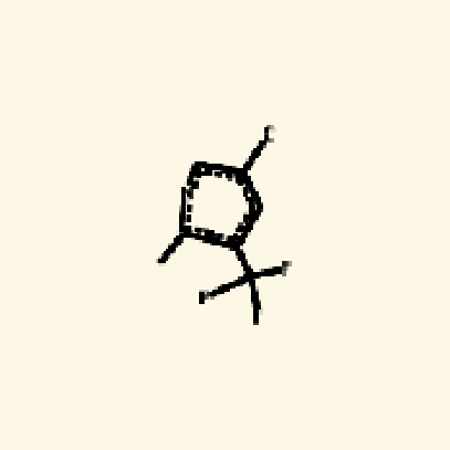 Cc1ncc(Cl)cc1C(F)(F)F